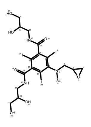 CC(=O)N(CC1CO1)c1c(I)c(C(=O)NCC(O)CO)c(I)c(C(=O)NCC(O)CO)c1I